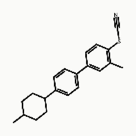 Cc1cc(-c2ccc(C3CCC(C)CC3)cc2)ccc1SC#N